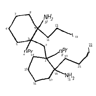 CCCC1(CC2(CCC)CCCCC2(N)CCI)CCCCC1(N)CCI